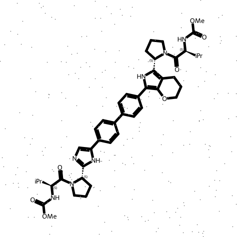 COC(=O)N[C@H](C(=O)N1CCC[C@H]1c1ncc(-c2ccc(-c3ccc(-c4[nH]c([C@@H]5CCCN5C(=O)[C@@H](NC(=O)OC)C(C)C)c5c4OCCC5)cc3)cc2)[nH]1)C(C)C